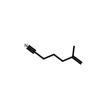 [CH]=C(C)CCCC#N